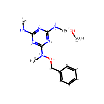 CCCNc1nc(NCCC)nc(N(C)OCc2ccccc2)n1.O=S(=O)(O)O